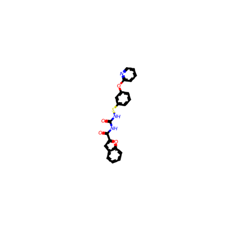 O=C(NSc1cccc(Oc2ccccn2)c1)NC(=O)c1cc2ccccc2o1